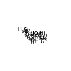 C[C@H](O)[C@@H](NC(=O)[C@H]1C[C@H]2C[C@H]2N1C(=O)c1cccc(S(C)(=O)=O)c1)c1cc(F)c(Cl)cc1F